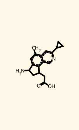 Cc1cc2c(c3cnc(C4CC4)cc13)C(CC(=O)O)CC2N